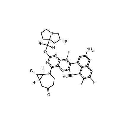 [2H]C([2H])(Oc1nc(N2CCC(=O)C[C@H]3[C@H](F)[C@H]32)c2cnc(-c3cc(N)cc4cc(F)c(F)c(C#C)c34)c(F)c2n1)[C@@]12CCCN1C[C@H](F)C2